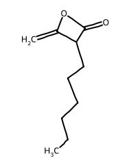 C=C1OC(=O)C1CCCCCC